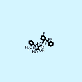 Cc1ccccc1-c1nc(O)c(O)c(C(=O)NCc2ccc(F)cc2C(F)(F)c2ccccc2F)n1